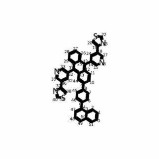 c1ccc2c(-c3ccc(-c4ccc5c(-c6cncc(-c7cscn7)c6)c6ccccc6c(-c6cncc(-c7cscn7)c6)c5c4)cc3)cccc2c1